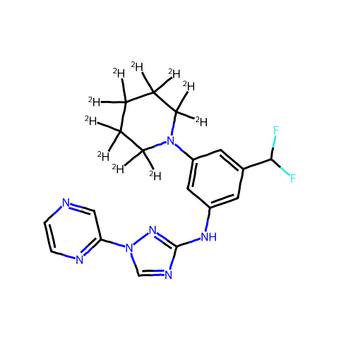 [2H]C1([2H])N(c2cc(Nc3ncn(-c4cnccn4)n3)cc(C(F)F)c2)C([2H])([2H])C([2H])([2H])C([2H])([2H])C1([2H])[2H]